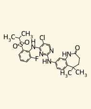 CC(C)S(=O)(=O)c1cccc(F)c1Nc1nc(Nc2ccc3c(c2)NC(=O)CCC3(C)C)ncc1Cl